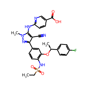 CCS(=O)(=O)Nc1ccc(-c2nn(C)c(Nc3ccc(C(=O)O)cn3)c2C#N)cc1O[C@@H](C)c1ccc(F)cc1